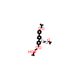 C=C(C)C(=O)OCCOc1cc(C(=O)OCCOC(O)C(=C)C)ccc1-c1ccc(-c2ccc(OC(=O)C(=C)C)cc2)cc1